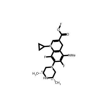 CNc1c(F)c(N2C[C@@H](C)N[C@@H](C)C2)c(F)c2c1CC(C(=O)OF)=CN2C1CC1